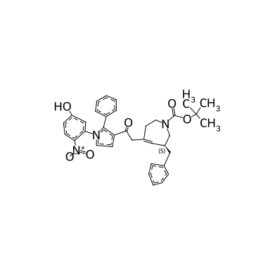 CC(C)(C)OC(=O)N1CCC(CC(=O)c2ccn(-c3cc(O)ccc3[N+](=O)[O-])c2-c2ccccc2)=C[C@H](Cc2ccccc2)C1